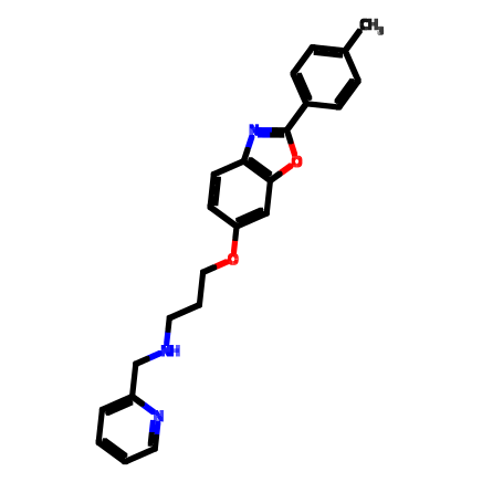 Cc1ccc(-c2nc3ccc(OCCCNCc4ccccn4)cc3o2)cc1